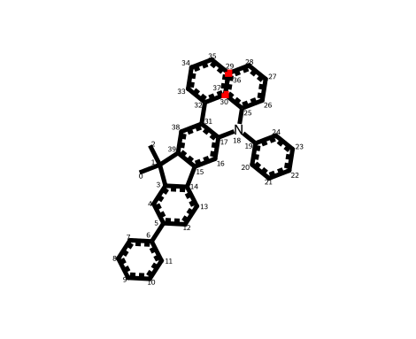 CC1(C)c2cc(-c3ccccc3)ccc2-c2cc(N(c3ccccc3)c3ccccc3)c(-c3ccccc3)cc21